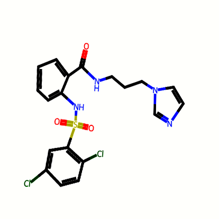 O=C(NCCCn1ccnc1)c1ccccc1NS(=O)(=O)c1cc(Cl)ccc1Cl